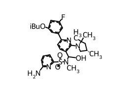 CC(C)COc1cc(F)cc(-c2ccc(C(O)N(C)S(=O)(=O)c3cccc(N)n3)c(N3C[C@@H](C)CC3(C)C)n2)c1